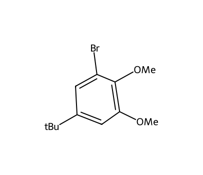 COc1cc(C(C)(C)C)cc(Br)c1OC